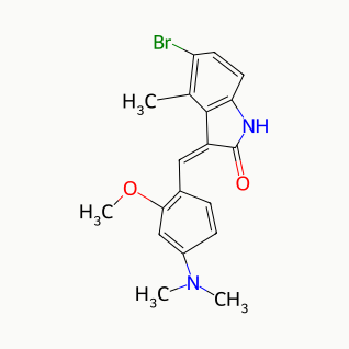 COc1cc(N(C)C)ccc1C=C1C(=O)Nc2ccc(Br)c(C)c21